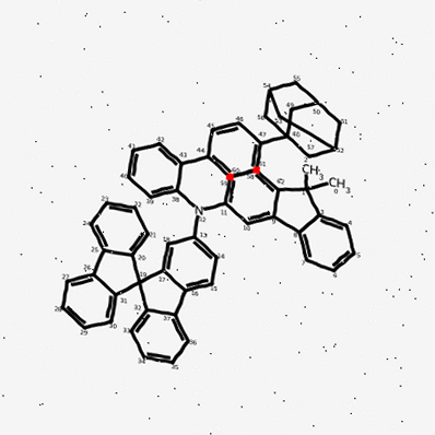 CC1(C)c2ccccc2-c2cc(N(c3ccc4c(c3)C3(c5ccccc5-c5ccccc53)c3ccccc3-4)c3ccccc3-c3ccc(C45CC6CC(CC(C6)C4)C5)cc3)ccc21